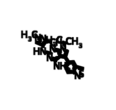 Cc1nn(C)cc1Nc1nc(N)c2c(-c3ccc4nscc4c3)cn(C(C)C)c2n1